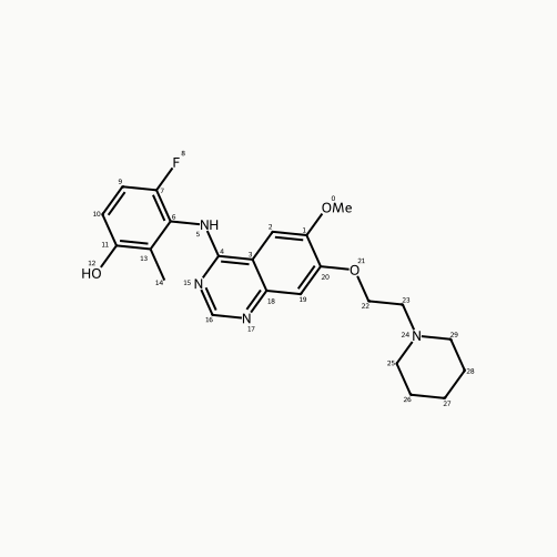 COc1cc2c(Nc3c(F)ccc(O)c3C)ncnc2cc1OCCN1CCCCC1